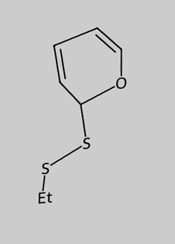 CCSSC1C=CC=CO1